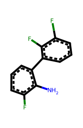 Nc1c(F)cccc1-c1cccc(F)c1F